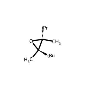 CC(C)[C@@]1(C)O[C@]1(C)C(C)(C)C